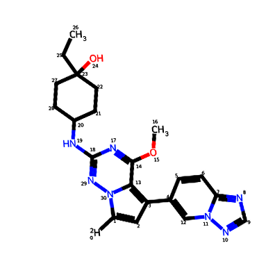 [2H]c1cc(-c2ccc3ncnn3c2)c2c(OC)nc(NC3CCC(O)(CC)CC3)nn12